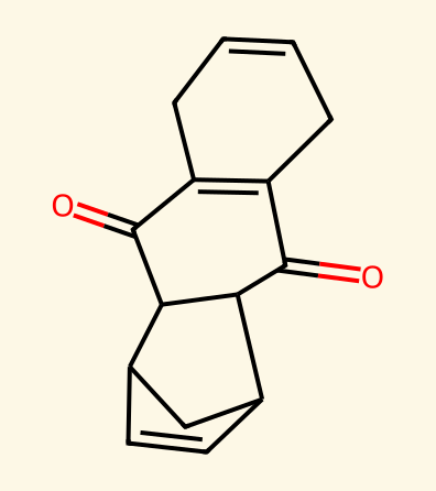 O=C1C2=C(CC=CC2)C(=O)C2C3C=CC(C3)C12